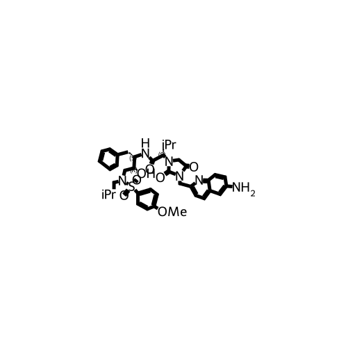 COc1ccc(S(=O)(=O)N(CC(C)C)C[C@@H](O)[C@H](Cc2ccccc2)NC(=O)[C@H](C(C)C)N2CC(=O)N(Cc3ccc4cc(N)ccc4n3)C2=O)cc1